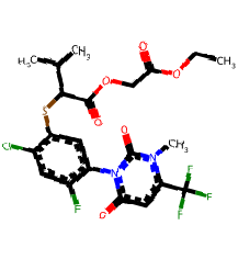 CCOC(=O)COC(=O)C(Sc1cc(-n2c(=O)cc(C(F)(F)F)n(C)c2=O)c(F)cc1Cl)C(C)C